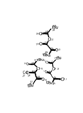 CC(C)(C)C(=O)OC(=O)C(=O)C(C)(C)C.CC(C)(C)C(=O)OC(=O)C(=O)C(C)(C)C.CC(C)(C)C(=O)OC(=O)C(=O)C(C)(C)C.[Gd]